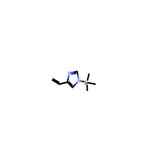 C=Cc1cn([Si](C)(C)C)cn1